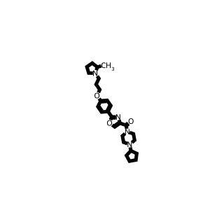 CC1CCCN1CCCOc1ccc(-c2nc(C(=O)N3CCN(C4CCCC4)CC3)co2)cc1